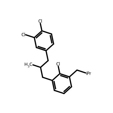 CC(C)Cc1cccc(CC(C)Cc2ccc(Cl)c(Cl)c2)c1Cl